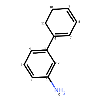 Nc1cccc(C2=CC=CCC2)c1